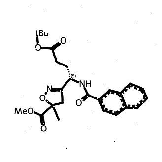 COC(=O)C1(C)CC([C@H](CCC(=O)OC(C)(C)C)NC(=O)c2ccc3ccccc3c2)=NO1